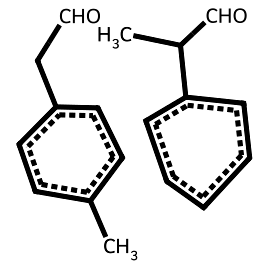 CC(C=O)c1ccccc1.Cc1ccc(CC=O)cc1